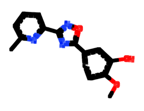 COc1ccc(-c2nc(-c3cccc(C)n3)no2)cc1O